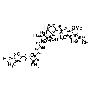 C=C1CO[C@@H](CC[C@@H]2O[C@@H](CCC(=O)C[C@H]3O[C@H]4[C@@H](O)[C@H]5C[C@@H](CC(=O)C[C@@H]6[C@@H](OC)[C@@H](C[C@H](O)CO)O[C@H]6C)CC[C@@H]5O[C@H]4[C@H]3O)CC2=C)C[C@H]1C